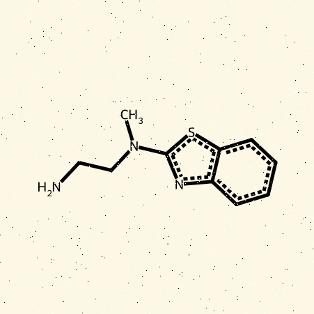 CN(CCN)c1nc2ccccc2s1